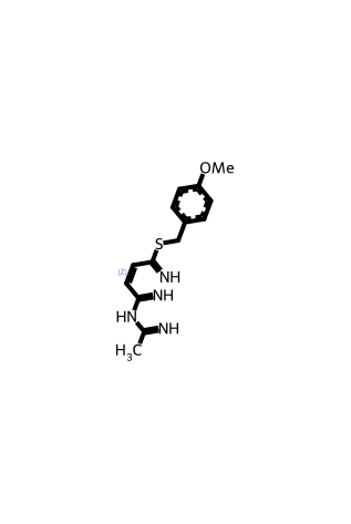 COc1ccc(CSC(=N)/C=C\C(=N)NC(C)=N)cc1